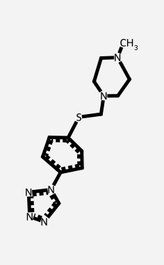 CN1CCN(CSc2ccc(-n3cnnn3)cc2)CC1